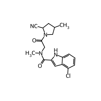 CC1CC(C#N)N(C(=O)CN(C)C(=O)c2cc3c(Cl)cccc3[nH]2)C1